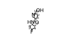 O=C(Nc1ccc(F)cc1)c1ccc(CO)nc1